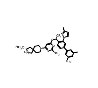 Cc1cc(-c2ccc([C@@H](Oc3cc(N4CCC5(CC4)CN[C@H](C(=O)O)C5)nc(N)n3)C(F)(F)F)c(-n3ccc(C)n3)c2)cc(C(C)(C)C)c1